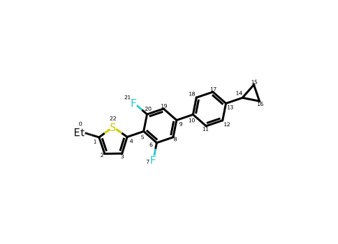 CCc1ccc(-c2c(F)cc(-c3ccc(C4CC4)cc3)cc2F)s1